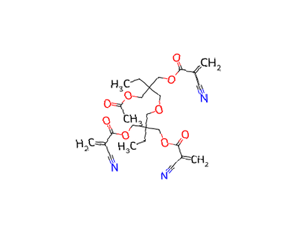 C=C(C#N)C(=O)OCC(CC)(COCC(CC)(COC(=O)C(=C)C#N)COC(=O)C(=C)C#N)COC(C)=O